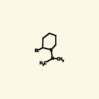 CCC1CCCCN1N(C)C